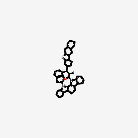 IC1C(n2c3ccccc3c3ccc4c5ccccc5n(-c5ccccc5)c4c32)=Nc2ccccc2C1c1ccc2c(c1)sc1cc3ccccc3cc12